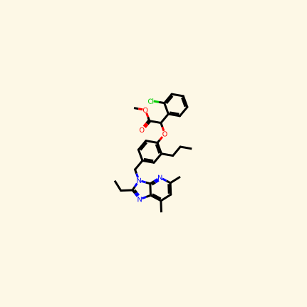 CCCc1cc(Cn2c(CC)nc3c(C)cc(C)nc32)ccc1OC(C(=O)OC)c1ccccc1Cl